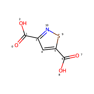 O=C(O)c1cc(C(=O)O)sn1